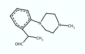 CC(C=O)c1ccccc1N1CCN(C)CC1